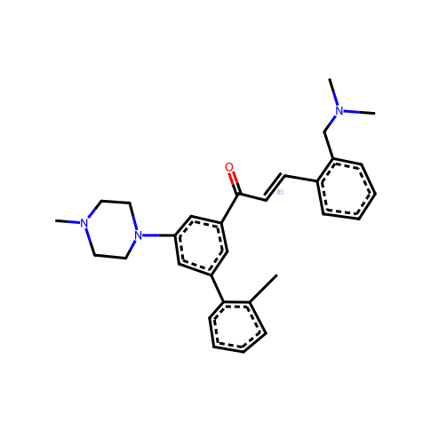 Cc1ccccc1-c1cc(C(=O)/C=C/c2ccccc2CN(C)C)cc(N2CCN(C)CC2)c1